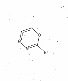 CCC1=NN=C=CO1